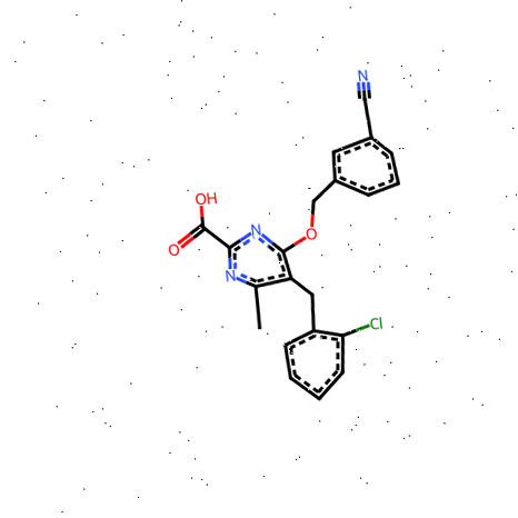 Cc1nc(C(=O)O)nc(OCc2cccc(C#N)c2)c1Cc1ccccc1Cl